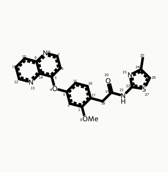 COc1cc(Oc2ccnc3cccnc23)ccc1CC(=O)Nc1nc(C)cs1